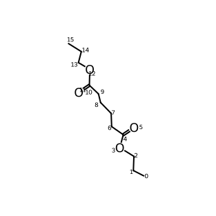 CCCOC(=O)CCCCC(=O)OCCC